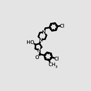 Cc1cc(C(=O)N2CC(O)C(N3CCN(Cc4ccc(Cl)cc4)CC3)C2)ccc1Cl